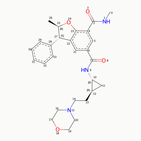 CNC(=O)c1cc(C(=O)N[C@@H]2C[C@H]2CCN2CCOCC2)cc2c1O[C@H](C)[C@H]2c1ccccc1